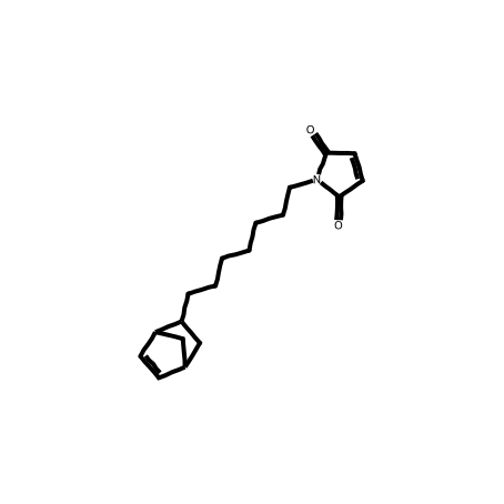 O=C1C=CC(=O)N1CCCCCCCC1CC2C=CC1C2